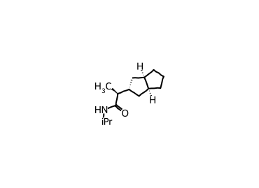 CC(C)NC(=O)[C@@H](C)[C@@H]1C[C@H]2CCC[C@H]2C1